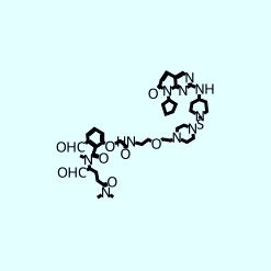 CN(C)C(=O)CCC(C=O)N(C)C(=O)c1c(C=O)cccc1OCC(=O)NCCOCCN1CCN(SN2CCC(Nc3ncc4ccc(=O)n(C5CCCC5)c4n3)CC2)CC1